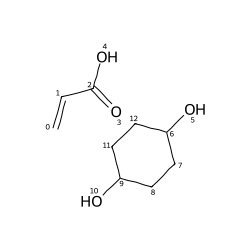 C=CC(=O)O.OC1CCC(O)CC1